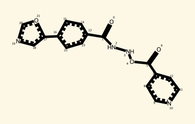 O=C(NNOC(=O)c1ccncc1)c1ccc(-c2cnco2)cc1